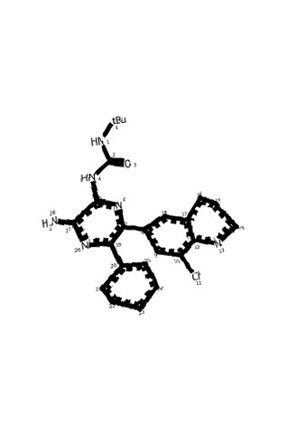 CC(C)(C)NC(=O)Nc1nc(-c2cc(Cl)c3ncccc3c2)c(-c2ccccc2)nc1N